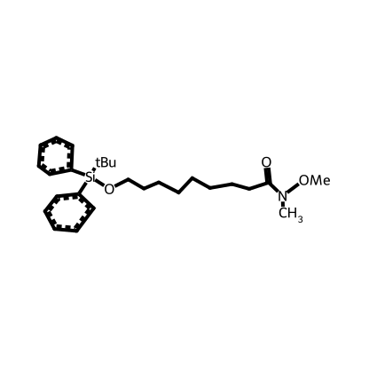 CON(C)C(=O)CCCCCCCCO[Si](c1ccccc1)(c1ccccc1)C(C)(C)C